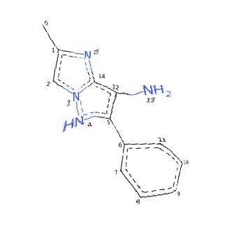 Cc1cn2[nH]c(-c3ccccc3)c(N)c2n1